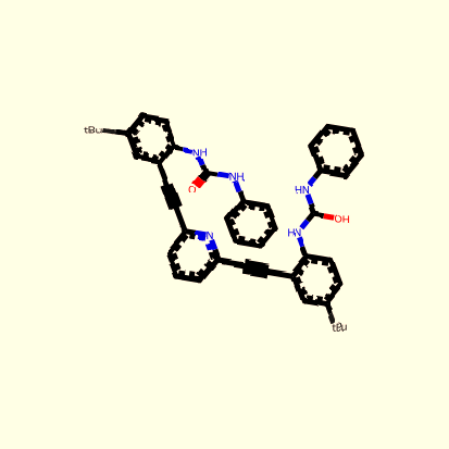 CC(C)(C)c1ccc(NC(=O)Nc2ccccc2)c(C#Cc2cccc(C#Cc3cc(C(C)(C)C)ccc3NC(O)Nc3ccccc3)n2)c1